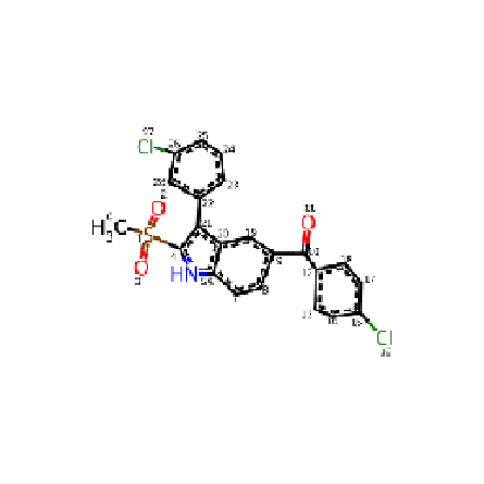 CS(=O)(=O)c1[nH]c2ccc(C(=O)c3ccc(Cl)cc3)cc2c1-c1cccc(Cl)c1